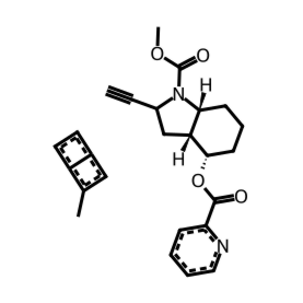 C#CC1C[C@H]2[C@@H](OC(=O)c3ccccn3)CCC[C@H]2N1C(=O)OC.Cc1cc2ccc1-2